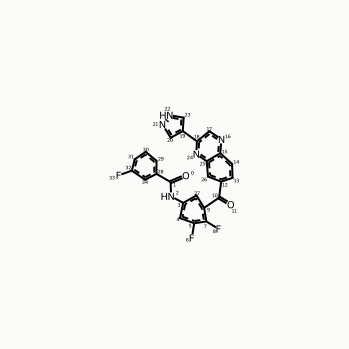 O=C(Nc1cc(F)c(F)c(C(=O)c2ccc3ncc(-c4cn[nH]c4)nc3c2)c1)c1cccc(F)c1